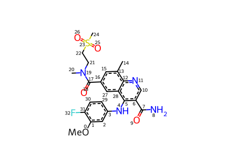 COc1cc(Nc2c(C(N)=O)cnc3c(C)cc(C(=O)N(C)CCS(C)(=O)=O)cc23)ccc1F